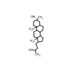 CC(O)CCC1CCC2C3CCC4C[C@@](C)(N=O)CCC4(C)C3CCC12C